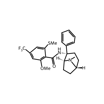 COc1cc(C(F)(F)F)cc(SC)c1C(=O)N[C@]1(c2ccccc2)CC[C@@H]2CC[C@@H]1N2C